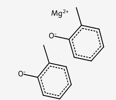 Cc1ccccc1[O-].Cc1ccccc1[O-].[Mg+2]